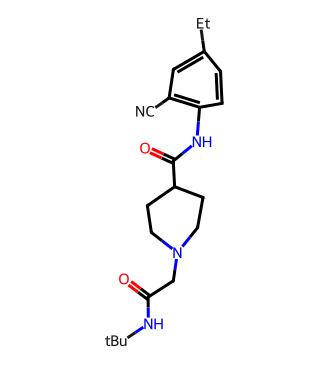 CCc1ccc(NC(=O)C2CCN(CC(=O)NC(C)(C)C)CC2)c(C#N)c1